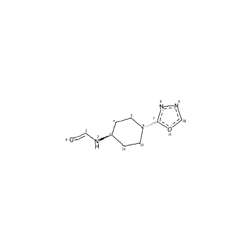 O=CN[C@H]1CC[C@H](c2nnco2)CC1